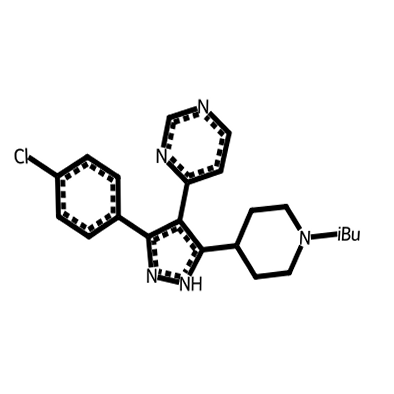 CCC(C)N1CCC(c2[nH]nc(-c3ccc(Cl)cc3)c2-c2ccncn2)CC1